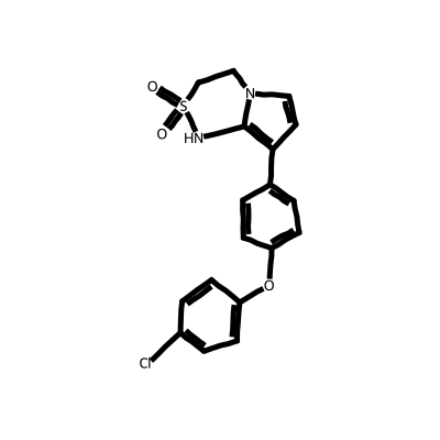 O=S1(=O)CCn2ccc(-c3ccc(Oc4ccc(Cl)cc4)cc3)c2N1